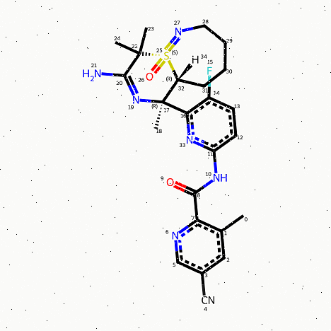 Cc1cc(C#N)cnc1C(=O)Nc1ccc(F)c([C@@]2(C)N=C(N)C(C)(C)[S@]3(=O)=NCCCC[C@H]23)n1